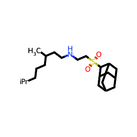 CC(C)CCCC(C)CCNCCS(=O)(=O)C1C2CC3CC(C2)CC1C3